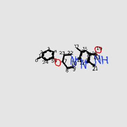 Cc1cccc(OC2CCN(c3nc4c(cc3C)C(=O)NC4)CC2)c1